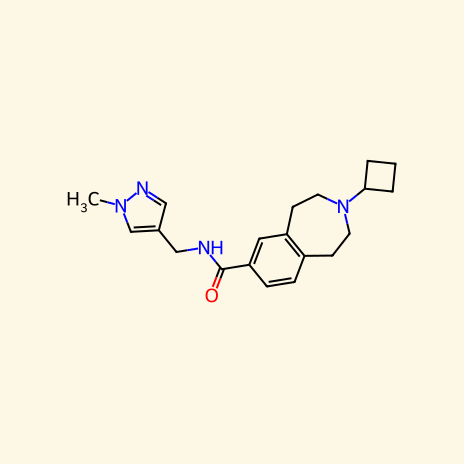 Cn1cc(CNC(=O)c2ccc3c(c2)CCN(C2CCC2)CC3)cn1